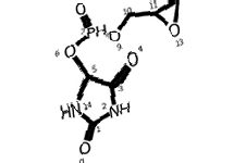 O=C1NC(=O)C(O[PH](=O)OCC2CO2)N1